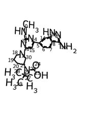 CNc1nc(-c2ccc3c(N)n[nH]c3c2)cc(N2CCC[C@@H](N(C(=O)O)C(C)(C)C)C2)n1